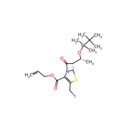 C=CCOC(=O)C1=C(CI)SC2[C@@H]([C@@H](C)O[Si](C)(C)C(C)(C)C)C(=O)N12